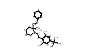 CC1(OCc2ccccc2)CCCCN1CCc1c(F)cc(C(F)(F)F)cc1F